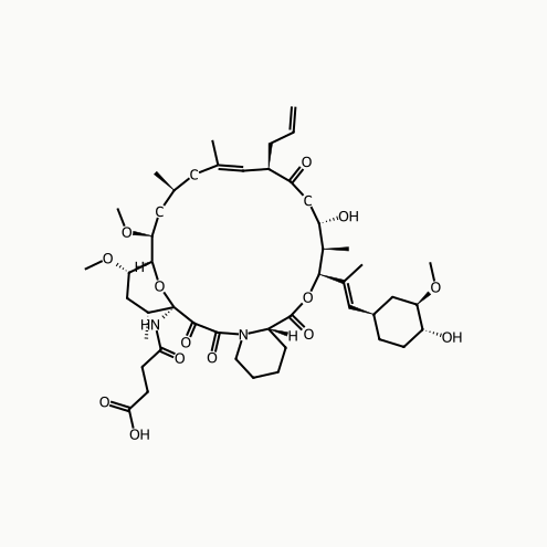 C=CC[C@@H]1/C=C(\C)C[C@H](C)C[C@H](OC)[C@H]2O[C@@](NC(=O)CCC(=O)O)(C(=O)C(=O)N3CCCC[C@H]3C(=O)O[C@H](/C(C)=C/[C@@H]3CC[C@@H](O)[C@H](OC)C3)[C@H](C)[C@@H](O)CC1=O)[C@H](C)C[C@@H]2OC